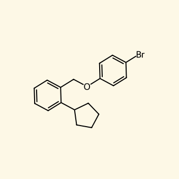 Brc1ccc(OCc2ccccc2C2CCCC2)cc1